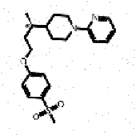 C[C@H](CCOc1ccc(S(C)(=O)=O)cc1)C1CCN(c2ccccn2)CC1